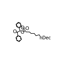 CCCCCCCCCCCCCCCCS(=O)(=O)OC(C(=O)c1ccccc1)c1ccccc1